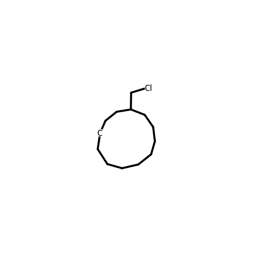 ClCC1CCCCCCCCCCC1